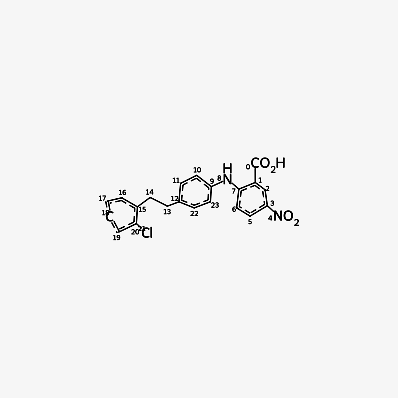 O=C(O)c1cc([N+](=O)[O-])ccc1Nc1ccc(CCc2ccccc2Cl)cc1